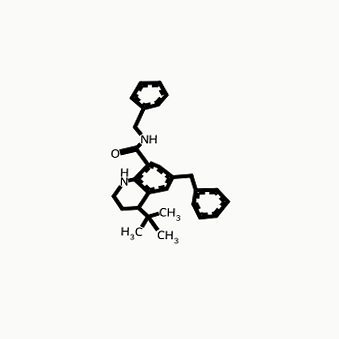 CC(C)(C)C1CCNc2c(C(=O)NCc3ccccc3)cc(Cc3ccccc3)cc21